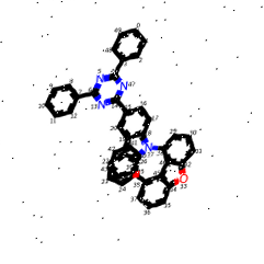 c1ccc(-c2nc(-c3ccccc3)nc(-c3ccc4c(c3)c3ccccc3n4-c3cccc4oc5cccc(-c6ccccc6)c5c34)n2)cc1